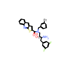 CCc1cccc(CN(C[C@@H](O)[C@@H](N)Cc2cc(F)cc(F)c2)C(=O)c2cc3cc4ccccc4nc3s2)c1